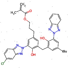 C=C(C)C(=O)OCCCc1cc(Cc2cc(C(C)(C)C)cc(-n3nc4ccccc4n3)c2O)c(O)c(-n2nc3ccc(Cl)cc3n2)c1